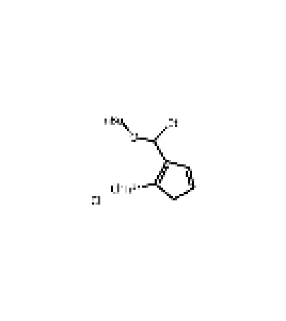 CCCCOC(CC)C1=[C]([Ti+2])CC=C1.[Cl-].[Cl-]